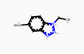 COc1ccc2c(c1)nnn2CC#N